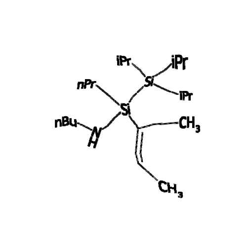 C/C=C(\C)[Si](CCC)(NCCCC)[Si](C(C)C)(C(C)C)C(C)C